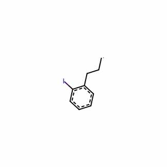 [CH2]CCc1ccccc1I